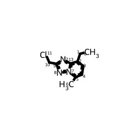 CCc1ccc(C)n2nc(CCl)nc12